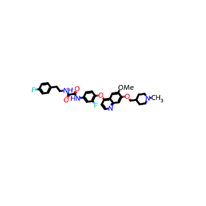 COc1cc2c(Oc3ccc(NC(=O)C(=O)NCCc4ccc(F)cc4)cc3F)ccnc2cc1OCC1CCN(C)CC1